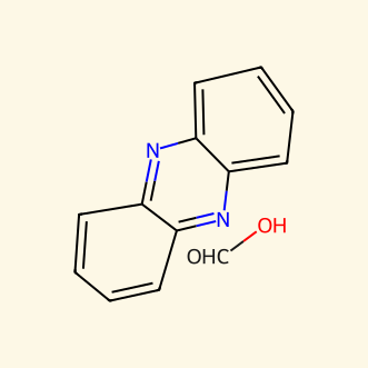 O=CO.c1ccc2nc3ccccc3nc2c1